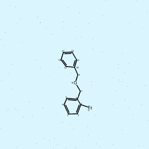 CCc1ccccc1COCc1ccccc1